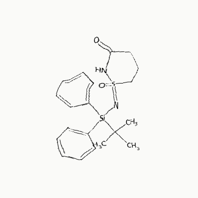 CC(C)(C)[Si](N=S1(=O)CCCC(=O)N1)(c1ccccc1)c1ccccc1